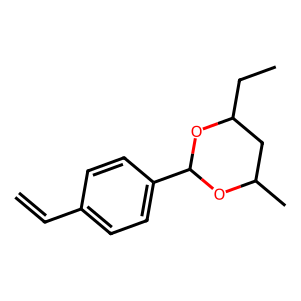 C=Cc1ccc(C2OC(C)CC(CC)O2)cc1